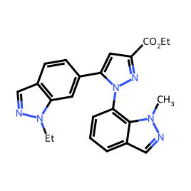 CCOC(=O)c1cc(-c2ccc3cnn(CC)c3c2)n(-c2cccc3cnn(C)c23)n1